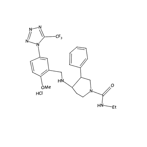 CCNC(=O)N1CCC(NCc2cc(-n3nnnc3C(F)(F)F)ccc2OC)C(c2ccccc2)C1.Cl